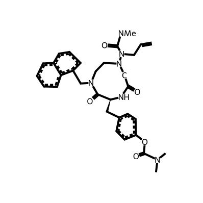 C=CCN(C(=O)NC)N1CCN(Cc2cccc3ccccc23)C(=O)[C@H](Cc2ccc(OC(=O)N(C)C)cc2)NC(=O)C1